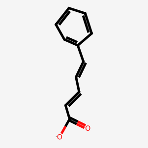 [O]C(=O)C=CC=Cc1ccccc1